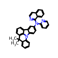 CC1(C)c2ccccc2-n2c3ccc(N(c4ccccn4)c4nccc5ccccc45)cc3c3cccc1c32